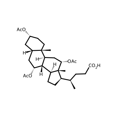 CC(=O)O[C@@H]1CC[C@@]2(C)[C@@H](C1)C[C@@H](OC(C)=O)[C@@H]1[C@@H]2C[C@H](OC(C)=O)[C@]2(C)[C@@H]([C@H](C)CCC(=O)O)CC[C@@H]12